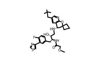 COCC(=O)N[C@@H](Cc1ccc(F)c(-c2cscn2)c1)[C@H](O)CN[C@H]1CC2(CCC2)Oc2ncc(CC(C)(C)C)cc21